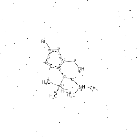 C[SiH](C)OC(c1ccc(Br)cc1CO)C(C)(C)C